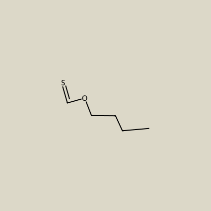 CCCCOC=S